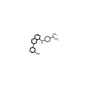 CN(C)C1CCC(Nc2ncnc3ccc(-c4cncc(O)c4)cc23)CC1